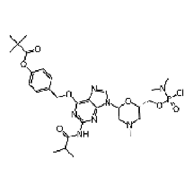 CC(C)C(=O)Nc1nc(OCc2ccc(OC(=O)C(C)(C)C)cc2)c2ncn(C3CN(C)C[C@@H](CO[P@](=O)(Cl)N(C)C)O3)c2n1